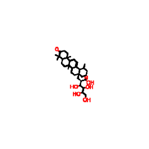 CC1CCCC2(C[C@@H](C(=O)O)C(O)C(O)C(O)CO)CCC3C(=CCC4C3(C)CCC3C(C)(C)C(=O)CCC34C)C12